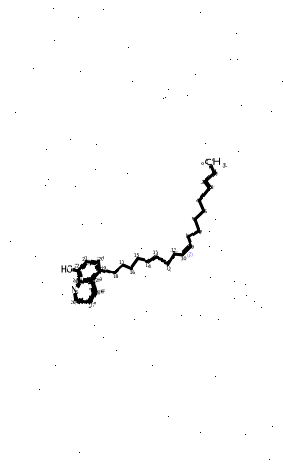 CCCCCCCCC/C=C\CCCCCCCCc1ccc(O)c2ncccc12